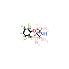 BC1(B)NC(B)(B)C1(B)Oc1c(F)c(F)cc(F)c1F